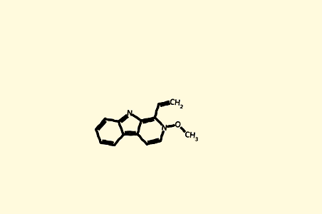 C=Cc1c2nc3ccccc3c-2ccn1OC